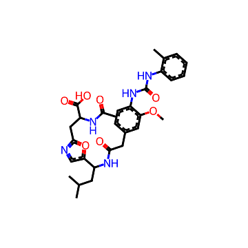 COc1cc(CC(=O)NC(CC(C)C)c2cnc(CC(NC(C)=O)C(=O)O)o2)ccc1NC(=O)Nc1ccccc1C